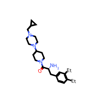 CCc1ccc(C[C@@H](N)C(=O)N2CCC(N3CCN(CC4CC4)CC3)CC2)cc1CC